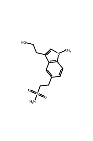 Cn1cc(CCO)c2cc(CCS(N)(=O)=O)ccc21